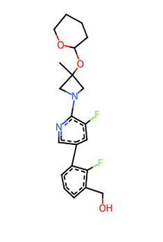 CC1(OC2CCCCO2)CN(c2ncc(-c3cccc(CO)c3F)cc2F)C1